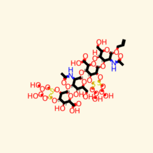 C=CCO[C@@H]1OC(CO)[C@H](O)[C@H](O[C@@H]2OC(C(=O)O)[C@@H](O[C@@H]3OC(CO)[C@H](O)[C@H](O[C@@H]4OC(C(=O)O)[C@@H](O)[C@H](OSOOO)C4OSOOO)C3NC(C)=O)[C@H](OSOOO)C2OSOOO)C1NC(C)=O